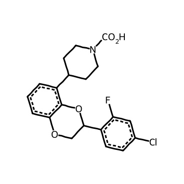 O=C(O)N1CCC(c2cccc3c2OC(c2ccc(Cl)cc2F)CO3)CC1